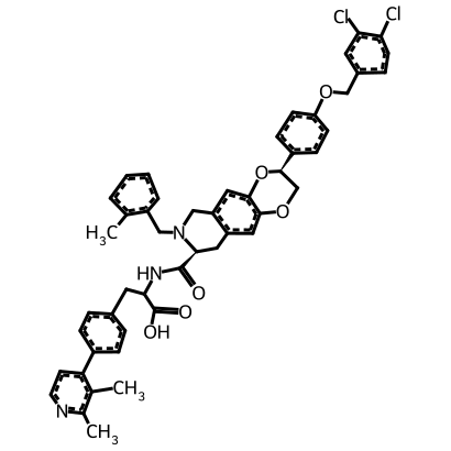 Cc1ccccc1CN1Cc2cc3c(cc2C[C@H]1C(=O)NC(Cc1ccc(-c2ccnc(C)c2C)cc1)C(=O)O)OC[C@H](c1ccc(OCc2ccc(Cl)c(Cl)c2)cc1)O3